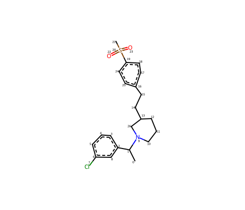 CC(c1cccc(Cl)c1)N1CCCC(CCc2ccc(S(C)(=O)=O)cc2)C1